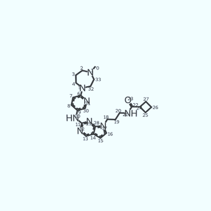 CN1CCCN(c2ccc(Nc3ncc4ccn(CCCNC(=O)C5CCC5)c4n3)cn2)CC1